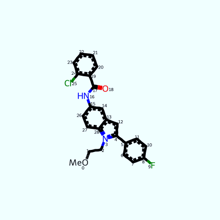 COCCn1c(-c2ccc(F)cc2)cc2cc(NC(=O)c3ccccc3Cl)ccc21